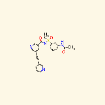 CC(=O)Nc1cccc(S(C)(=O)=NC(=O)c2cncc(C#Cc3cccnc3)c2)c1